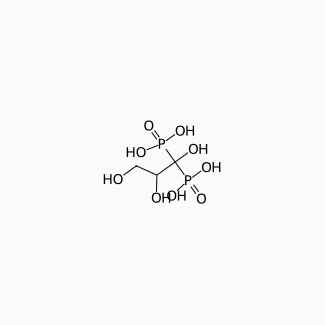 O=P(O)(O)C(O)(C(O)CO)P(=O)(O)O